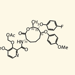 COc1ccc(O[C@H]2CCC[C@H](NC(=O)c3nccc(OC)c3OCOC(C)=O)C(=O)O[C@@H](C)[C@@H]2Oc2ccc(F)cc2)cc1